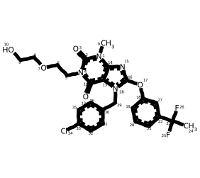 Cn1c(=O)n(CCOCCO)c(=O)c2c1nc(Oc1cccc(C(C)(F)F)c1)n2Cc1ccc(Cl)cc1